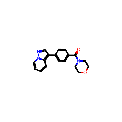 O=C(c1ccc(-c2cnn3ccccc23)cc1)N1CCOCC1